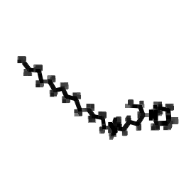 [CH2]CC(CCC[N+](C)(C)CCCCCCCCCCCCCC)[n+]1ccccc1